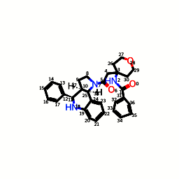 O=C(NC1(CC(=O)N2CC[C@@H]3[C@H](c4ccccc4)Nc4ccccc4[C@@H]32)CCOCC1)c1ccccc1